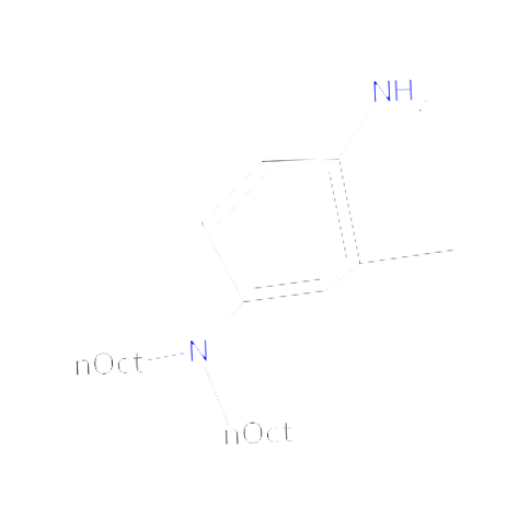 CCCCCCCCN(CCCCCCCC)c1ccc(N)c(C)c1